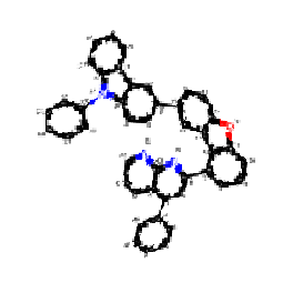 c1ccc(-c2cc(-c3cccc4oc5ccc(-c6ccc7c(c6)c6ccccc6n7-c6ccccc6)cc5c34)nc3ncccc23)cc1